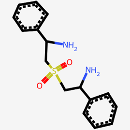 NC(CS(=O)(=O)CC(N)c1ccccc1)c1ccccc1